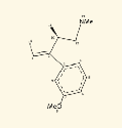 CC=C(c1cccc(OC)c1)[C@@H](C)CNC